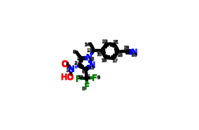 Cc1c([N+](=O)O)c(C(F)(F)F)nn1C(C)c1ccc(C#N)cc1